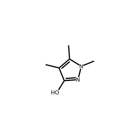 Cc1c(O)nn(C)c1C